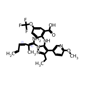 C=C/C=C\C(C)=C(/N)n1nc(CC)c(-c2ccc(OC)nc2)c1Nc1ccc(OC(F)(F)F)cc1C(=O)O